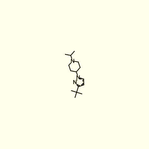 CC(C)N1CCC(n2ccc(C(C)(C)C)n2)CC1